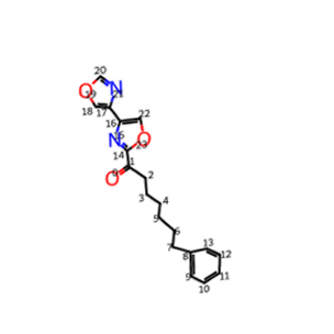 O=C(CCCCCCc1ccccc1)c1nc(-c2cocn2)co1